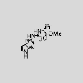 COC(=O)[C@@H](NC(=O)Nc1cnc2[nH]ccc2n1)C(C)C